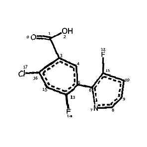 O=C(O)c1cc(-c2ncccc2F)c(F)cc1Cl